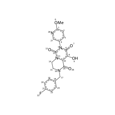 COc1ccc(-n2c(=O)c(O)c3n(c2=O)CCN(Cc2ccc(F)cc2)C3=O)cn1